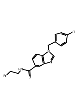 CC(C)CCNC(=O)c1ccc2c(c1)ncn2Cc1ccc(Cl)cc1